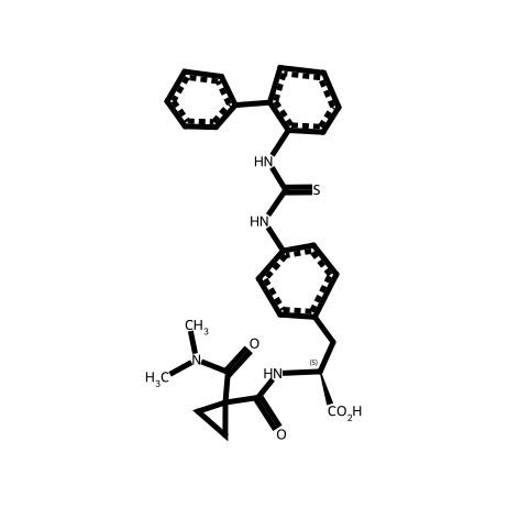 CN(C)C(=O)C1(C(=O)N[C@@H](Cc2ccc(NC(=S)Nc3ccccc3-c3ccccc3)cc2)C(=O)O)CC1